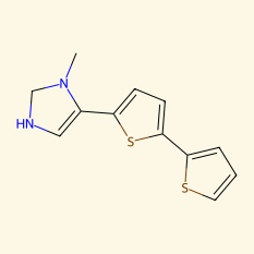 CN1CNC=C1c1ccc(-c2cccs2)s1